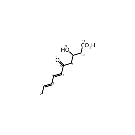 CC=CC=CC(=O)CC(O)CC(=O)O